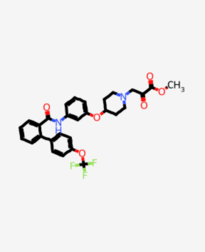 COC(=O)C(=O)CN1CCC(Oc2cccc(NC(=O)c3ccccc3-c3ccc(OC(F)(F)F)cc3)c2)CC1